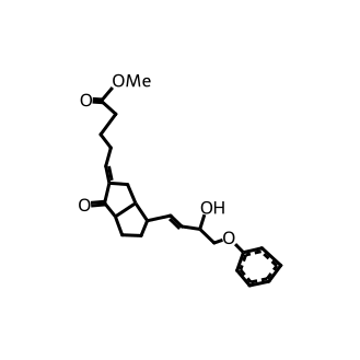 COC(=O)CCCC=C1CC2C(C=CC(O)COc3ccccc3)CCC2C1=O